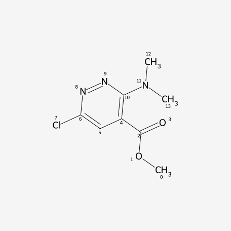 COC(=O)c1cc(Cl)nnc1N(C)C